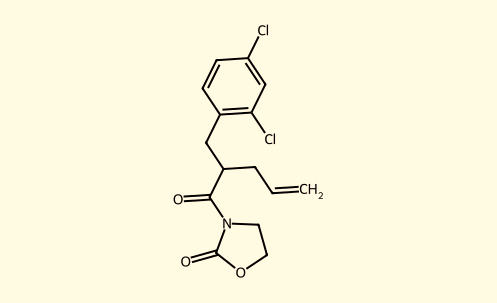 C=CCC(Cc1ccc(Cl)cc1Cl)C(=O)N1CCOC1=O